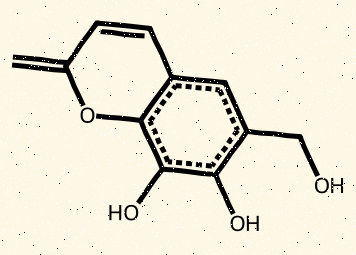 C=C1C=Cc2cc(CO)c(O)c(O)c2O1